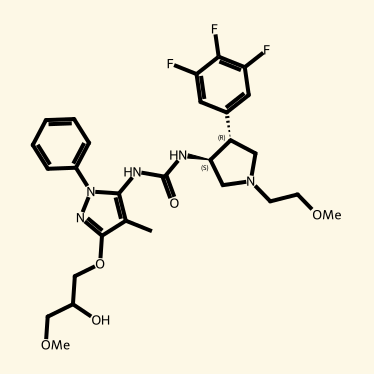 COCCN1C[C@@H](NC(=O)Nc2c(C)c(OCC(O)COC)nn2-c2ccccc2)[C@H](c2cc(F)c(F)c(F)c2)C1